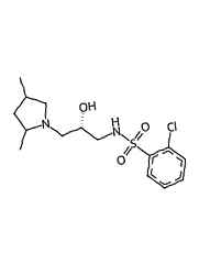 CC1CC(C)N(C[C@H](O)CNS(=O)(=O)c2ccccc2Cl)C1